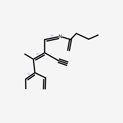 C#CC(/C=N\C(=C)CCC)=C(C)\C(C=C)=C\C